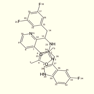 Cc1noc(C)c1-c1cccnc1C(Cc1cc(F)cc(F)c1)NC(=O)Cc1c[nH]c2ccc(F)cc12